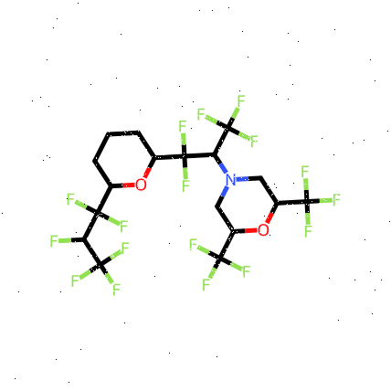 FC(C(F)(F)F)C(F)(F)C1CCCC(C(F)(F)C(N2CC(C(F)(F)F)OC(C(F)(F)F)C2)C(F)(F)F)O1